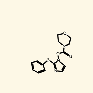 O=C(On1ccnc1Sc1ccccc1)N1CCOCC1